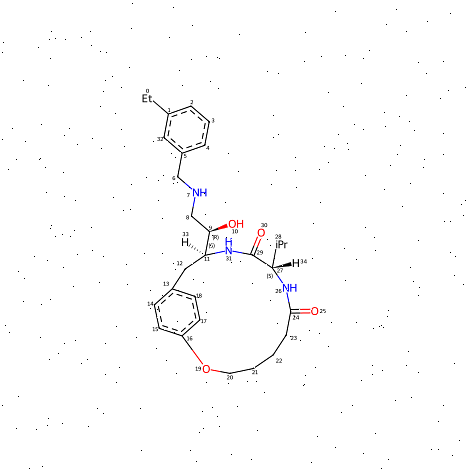 CCc1cccc(CNC[C@@H](O)[C@@H]2Cc3ccc(cc3)OCCCCC(=O)N[C@@H](C(C)C)C(=O)N2)c1